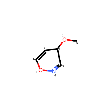 COC1[C]=NOC=C1